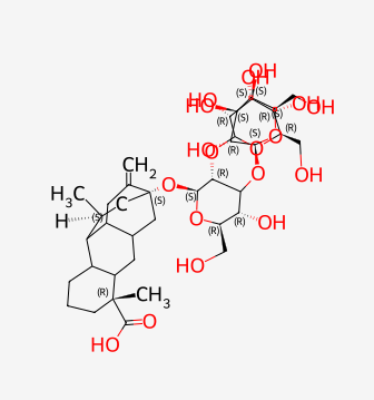 C=C1CC2C3CC4C(CCC[C@@]4(C)C(=O)O)C2[C@@H](C)C[C@]1(O[C@@H]1O[C@H](CO)[C@@H](O)C(O[C@@H]2O[C@H](CO)[C@@H](O)[C@H](O)[C@H]2O)[C@H]1OC1O[C@H](CO)[C@@H](O)[C@H](O)[C@H]1O)C3